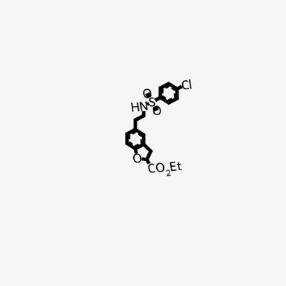 CCOC(=O)C1Cc2cc(CCNS(=O)(=O)c3ccc(Cl)cc3)ccc2O1